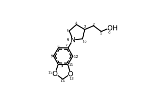 OCCC1CCN(c2ccc3c(c2)OCO3)C1